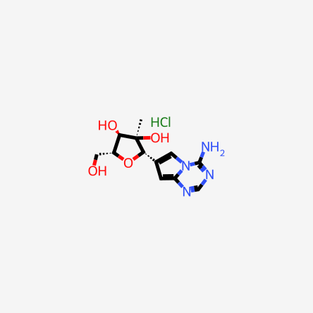 C[C@@]1(O)[C@H](O)[C@@H](CO)O[C@H]1c1cc2ncnc(N)n2c1.Cl